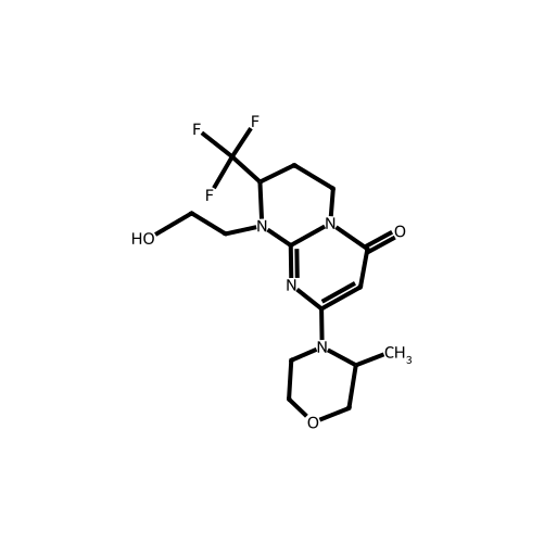 CC1COCCN1c1cc(=O)n2c(n1)N(CCO)C(C(F)(F)F)CC2